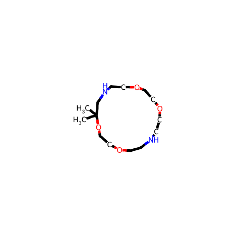 CC1(C)CNCCOCCOCCNCCOCCO1